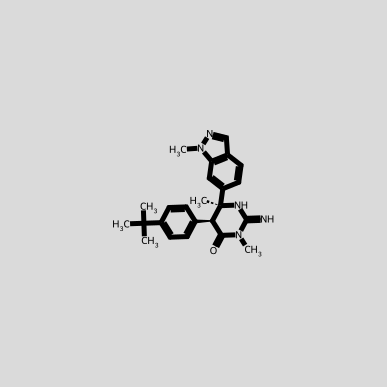 CN1C(=N)N[C@](C)(c2ccc3cnn(C)c3c2)[C@H](c2ccc(C(C)(C)C)cc2)C1=O